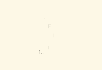 [F-].[F-].[F-].[F-].[Lu+3].[Na+]